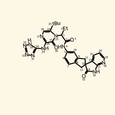 CCC(C(=O)Nc1ccc2c(c1)CC1(C2)C(=O)Nc2ncccc21)n1c(C(C)(C)C)cnc(Nc2nnn[nH]2)c1=O